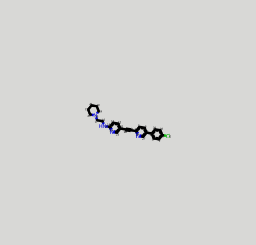 Clc1ccc(-c2ccc(C#Cc3ccc(NCCN4CCCCC4)nc3)nc2)cc1